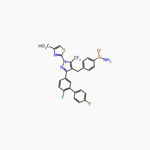 N[S+]([O-])c1ccc(Cc2c(-c3ccc(F)c(-c4ccc(F)cc4)c3)nn(-c3nc(C(=O)O)cs3)c2C(F)(F)F)cc1